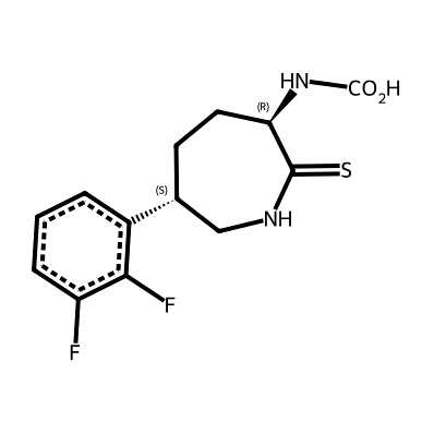 O=C(O)N[C@@H]1CC[C@@H](c2cccc(F)c2F)CNC1=S